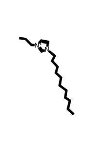 CCCCCCCCCCCn1cc[n+](CCC)c1